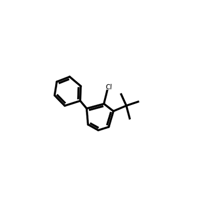 CC(C)(C)c1cccc(-c2ccccc2)c1Cl